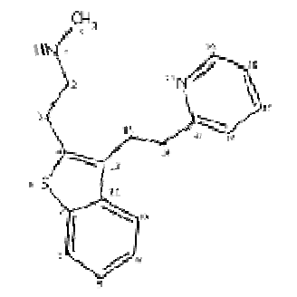 CNCCc1sc2ccccc2c1CCc1ccccn1